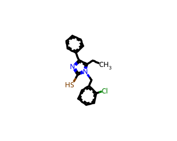 CCc1c(-c2ccccc2)nc(S)n1Cc1ccccc1Cl